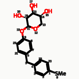 CSc1ccc(Cc2ccc(O[C@@H]3OC[C@@H](O)[C@H](O)[C@H]3O)cc2)cc1